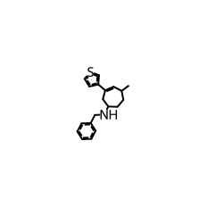 CC1C=C(c2ccsc2)CC(NCc2ccccc2)CC1